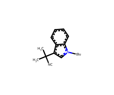 [C-]#[N+]C(C)(C)c1cn(C(C)(C)C)c2ccccc12